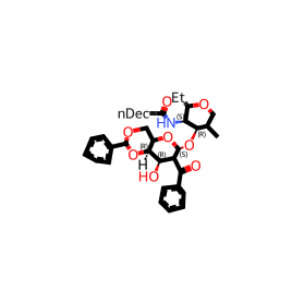 CCCCCCCCCCC(=O)N[C@H]1C(CC)OCC(C)[C@H]1O[C@H]1OC2COC(c3ccccc3)O[C@@H]2[C@H](O)C1C(=O)c1ccccc1